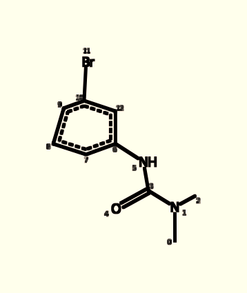 CN(C)C(=O)Nc1cccc(Br)c1